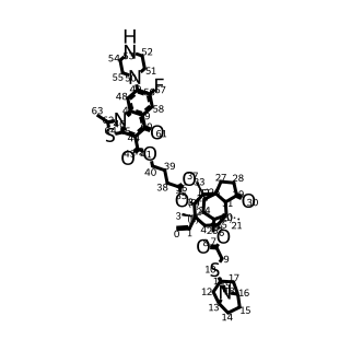 C=C[C@@]1(C)C[C@H](OC(=O)CSC2CC3CCC(C2)N3C)[C@@]2(C)C(C)CCC3(CCC(=O)C32)[C@H](C)[C@H]1OC(=O)CCCOC(=O)c1c2n(c3cc(N4CCNCC4)c(F)cc3c1=O)C(C)S2